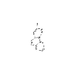 CC1=CB2C=Cc3ccccc3N2C=C1